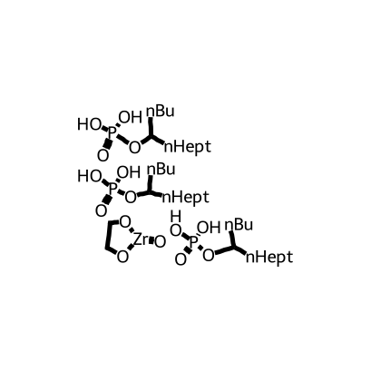 CCCCCCCC(CCCC)OP(=O)(O)O.CCCCCCCC(CCCC)OP(=O)(O)O.CCCCCCCC(CCCC)OP(=O)(O)O.[O]=[Zr]1[O]CC[O]1